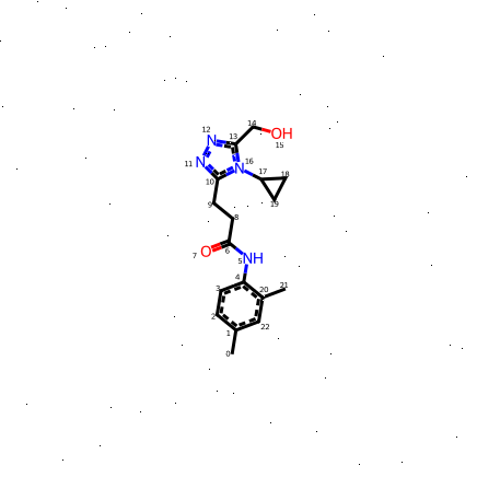 Cc1ccc(NC(=O)CCc2nnc(CO)n2C2CC2)c(C)c1